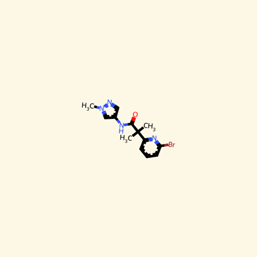 Cn1cc(NC(=O)C(C)(C)c2cccc(Br)n2)cn1